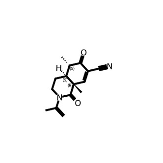 C=C(C)N1CC[C@H]2[C@H](C)C(=O)C(C#N)=C[C@]2(C)C1=O